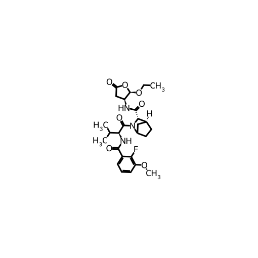 CCO[C@@H]1OC(=O)C[C@@H]1NC(=O)[C@@H]1[C@H]2CCC(C2)N1C(=O)[C@@H](NC(=O)c1cccc(OC)c1F)C(C)C